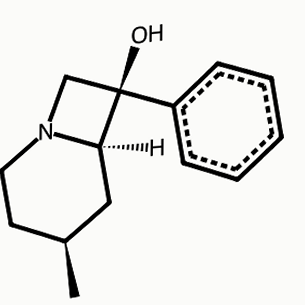 C[C@H]1CCN2C[C@](O)(c3ccccc3)[C@H]2C1